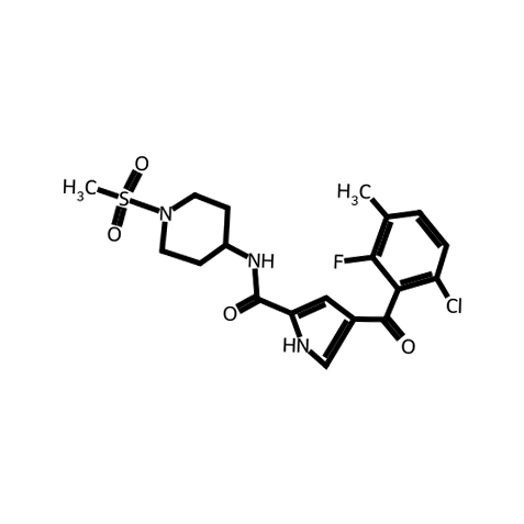 Cc1ccc(Cl)c(C(=O)c2c[nH]c(C(=O)NC3CCN(S(C)(=O)=O)CC3)c2)c1F